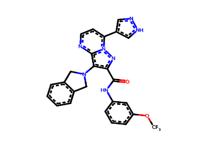 O=C(Nc1cccc(OC(F)(F)F)c1)c1nn2c(-c3cn[nH]c3)ccnc2c1N1Cc2ccccc2C1